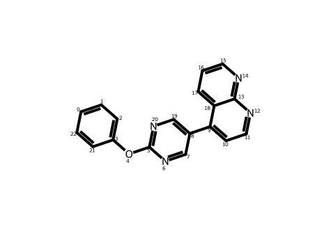 c1ccc(Oc2ncc(-c3ccnc4ncccc34)cn2)cc1